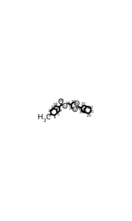 CC1C=C2CC(C1)CC(C(=O)OCC1COC(C3C=C4CCCC(C4)C3)OC1)C2